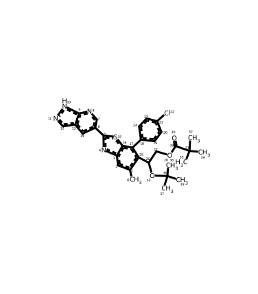 Cc1cc2nc(-c3cnc4[nH]ncc4c3)sc2c(-c2ccc(Cl)cc2)c1C(COC(=O)C(C)(C)C)OC(C)(C)C